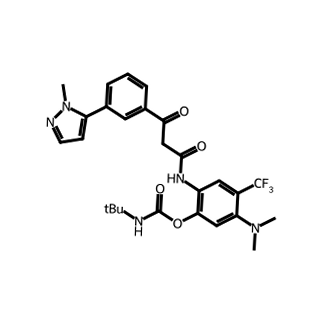 CN(C)c1cc(OC(=O)NC(C)(C)C)c(NC(=O)CC(=O)c2cccc(-c3ccnn3C)c2)cc1C(F)(F)F